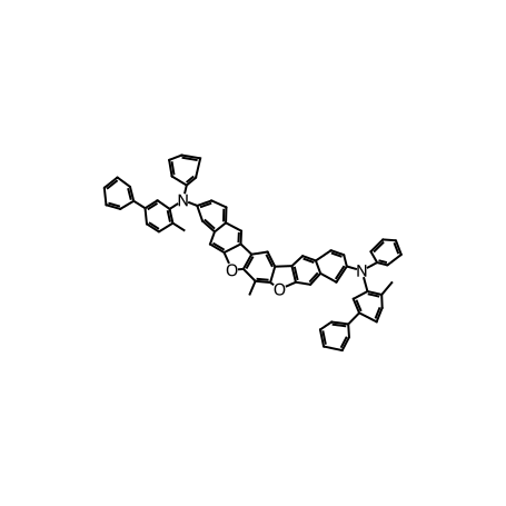 Cc1ccc(-c2ccccc2)cc1N(c1ccccc1)c1ccc2cc3c(cc2c1)oc1c(C)c2oc4cc5cc(N(c6ccccc6)c6cc(-c7ccccc7)ccc6C)ccc5cc4c2cc13